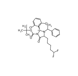 CC(c1ccccc1)N1C(CCCCC(F)F)C(=O)N(C(=O)OC(C)(C)C)[C@H]1c1c(Cl)cccc1Cl